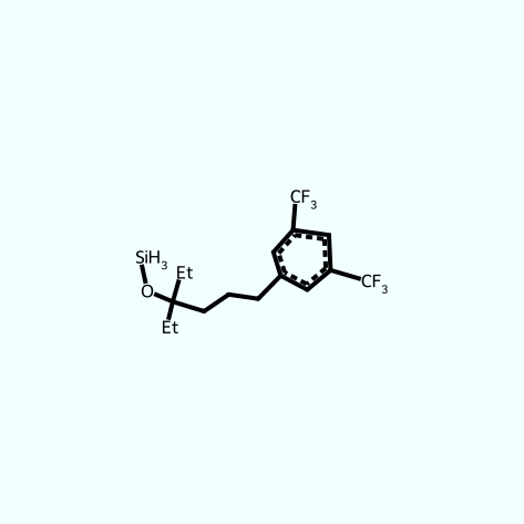 CCC(CC)(CCCc1cc(C(F)(F)F)cc(C(F)(F)F)c1)O[SiH3]